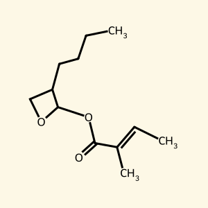 CC=C(C)C(=O)OC1OCC1CCCC